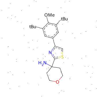 COc1c(C(C)(C)C)cc(-c2csc(C3(N)CCOCC3)n2)cc1C(C)(C)C